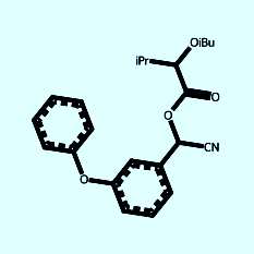 CC(C)COC(C(=O)OC(C#N)c1cccc(Oc2ccccc2)c1)C(C)C